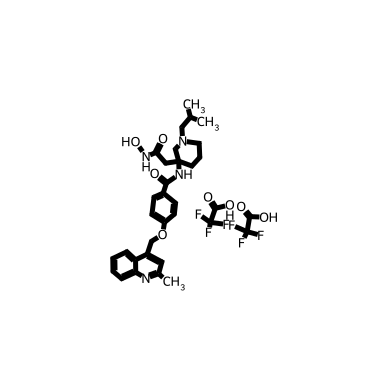 Cc1cc(COc2ccc(C(=O)NC3(CC(=O)NO)CCCN(CC(C)C)C3)cc2)c2ccccc2n1.O=C(O)C(F)(F)F.O=C(O)C(F)(F)F